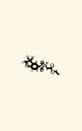 CCOC(=O)CN(C)S(=O)(=O)c1ccc2c(c1)C(C)(C)C(C)=N2